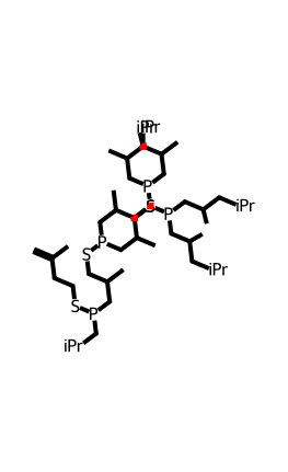 C=C(C)CCSP(CC(C)C)CC(C)CSP(CC(C)CSP(CC(C)CC(C)C)CC(C)CC(C)C)CC(C)CSP(CC(C)CC(C)C)CC(C)CC(C)C